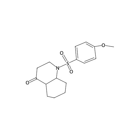 COc1ccc(S(=O)(=O)N2CCC(=O)C3CCCCC32)cc1